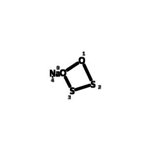 O1OSS1.[Na]